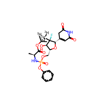 [2H][13C]([2H])([2H])[C@@]1(F)[C@H](O)[C@@H](COP(=O)(N[C@@H](C)C(=O)OC(C)C)Oc2ccccc2)O[C@H]1C1=CC(=O)NC(=O)C1